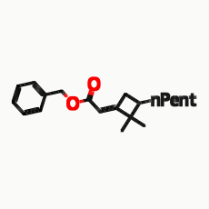 CCCCCC1C/C(=C\C(=O)OCc2ccccc2)C1(C)C